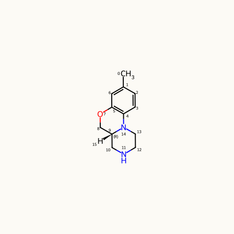 Cc1ccc2c(c1)OC[C@H]1CNCCN21